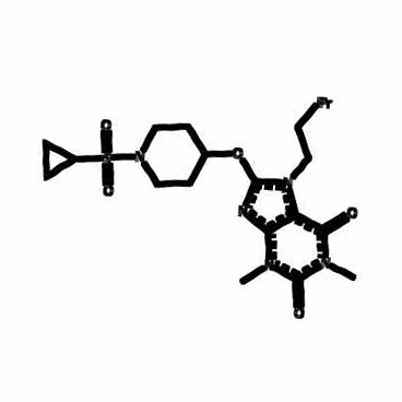 CC(C)CCn1c(OC2CCN(S(=O)(=O)C3CC3)CC2)nc2c1c(=O)n(C)c(=O)n2C